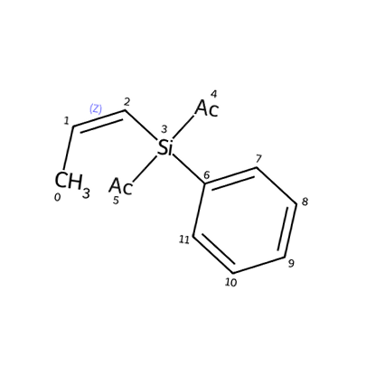 C/C=C\[Si](C(C)=O)(C(C)=O)c1ccccc1